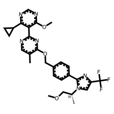 COC[C@@H](C)n1cc(C(F)(F)F)nc1-c1ccc(COc2nc(-c3c(OC)ncnc3C3CC3)ncc2C)cc1